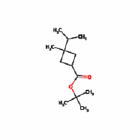 CC(C)C1(C)CC(C(=O)OC(C)(C)C)C1